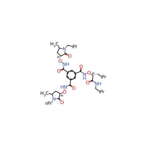 CCCN1C(=O)[C@H](ONC(=O)c2cc(C(=O)NO[C@H](CC(C)C)C(=O)NCC(C)C)cc(C(=O)NO[C@@H]3CC(C)N(CC(C)C)C3=O)c2)CC1C